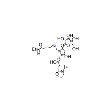 CCNC(=O)CCC/C=C\C[C@@H]1[C@@H](/C=C/[C@@H](O)CCC2OCCCN2C2CC2)[C@H](O)C[C@@H]1O[C@H]1OC(CO)[C@@H](O)[C@H](O)C1O